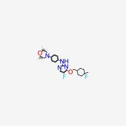 C[C@@H]1CN(c2ccc(Nc3ncc(F)c(OCC4CCC(C)(F)CC4)n3)cc2)C[C@H](C)O1